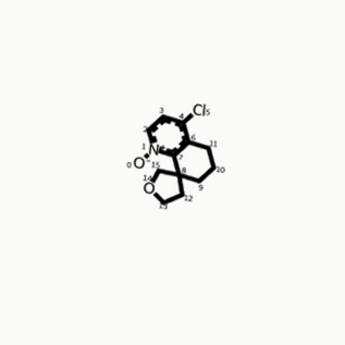 [O-][n+]1ccc(Cl)c2c1C1(CCC2)CCOC1